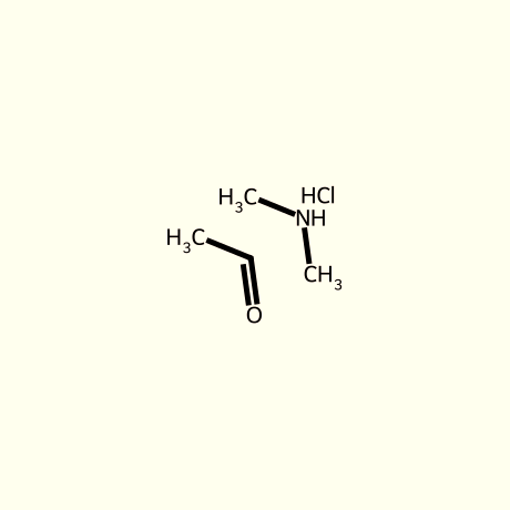 CC=O.CNC.Cl